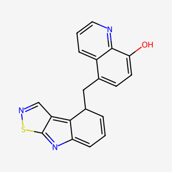 Oc1ccc(CC2C=CC=C3N=c4sncc4=C32)c2cccnc12